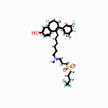 CN(CCCCCCC1=C(c2cc(F)cc(F)c2)CCCc2cc(O)ccc21)CCCS(=O)(=O)CCCC(F)(F)F